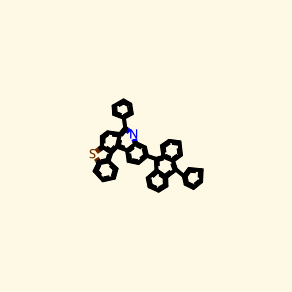 c1ccc(-c2c3ccccc3c(-c3ccc4c(c3)nc(-c3ccccc3)c3ccc5sc6ccccc6c5c34)c3ccccc23)cc1